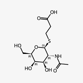 CC(=O)N[C@@H]1[C@@H](O)[C@@H](O)[C@@H](CO)O[C@H]1SCCC(=O)O